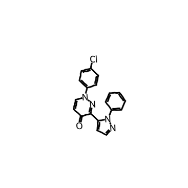 O=c1ccn(-c2ccc(Cl)cc2)nc1-c1ccnn1-c1ccccc1